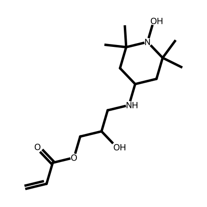 C=CC(=O)OCC(O)CNC1CC(C)(C)N(O)C(C)(C)C1